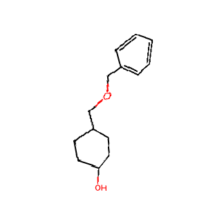 OC1CCC(COCc2ccccc2)CC1